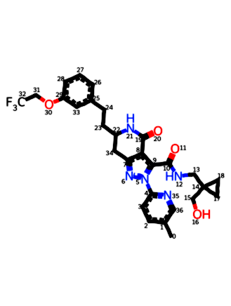 Cc1ccc(-n2nc3c(c2C(=O)NCC2(CO)CC2)C(=O)NC(CCc2cccc(OCC(F)(F)F)c2)C3)nc1